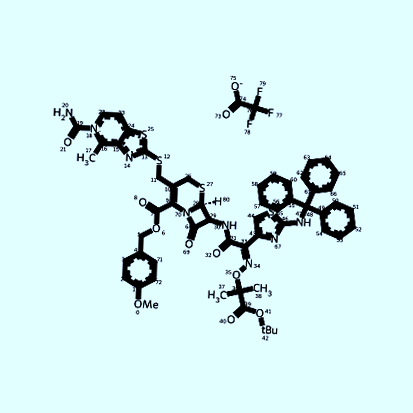 COc1ccc(COC(=O)C2=C(CSc3nc4c(C)[n+](C(N)=O)ccc4s3)CS[C@H]3C(NC(=O)/C(=N\OC(C)(C)C(=O)OC(C)(C)C)c4csc(NC(c5ccccc5)(c5ccccc5)c5ccccc5)n4)C(=O)N23)cc1.O=C([O-])C(F)(F)F